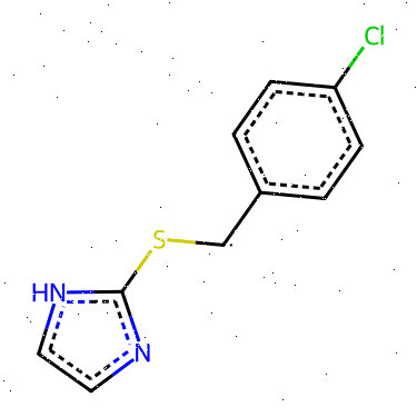 Clc1ccc([CH]Sc2ncc[nH]2)cc1